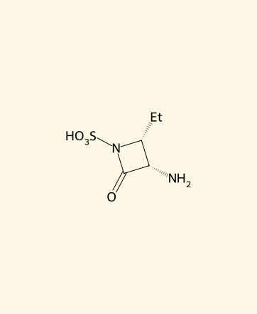 CC[C@@H]1[C@H](N)C(=O)N1S(=O)(=O)O